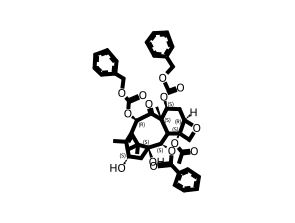 CC(=O)O[C@@]12CO[C@@H]1C[C@H](OC(=O)OCc1ccccc1)[C@@]1(C)C(=O)[C@H](OC(=O)OCc3ccccc3)C3=C(C)[C@@H](O)C[C@@](O)([C@@H](OC(=O)c4ccccc4)C12)C3(C)C